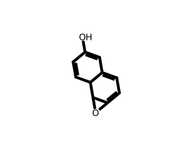 OC1=CC2=CC=C3OC3C2C=C1